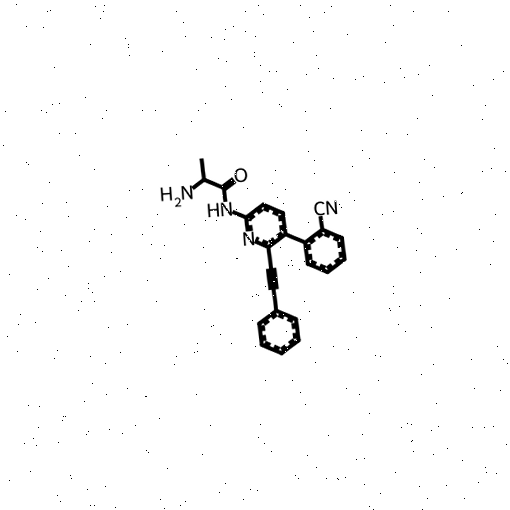 CC(N)C(=O)Nc1ccc(-c2ccccc2C#N)c(C#Cc2ccccc2)n1